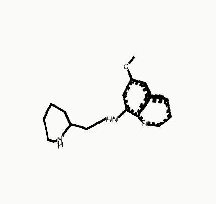 COc1cc(NCCC2CCCCN2)c2ncccc2c1